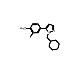 COc1ccc(-c2ccnn2CC2CCCCC2)cc1C